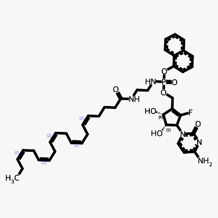 CC/C=C\C/C=C\C/C=C\C/C=C\C/C=C\CCCC(=O)NCCNP(=O)(OCC1=C(F)C(n2ccc(N)nc2=O)[C@H](O)[C@@H]1O)Oc1cccc2ccccc12